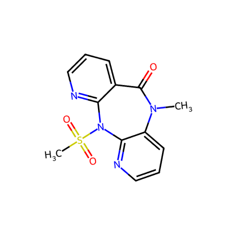 CN1C(=O)c2cccnc2N(S(C)(=O)=O)c2ncccc21